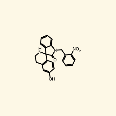 O=C1N(Cc2ccccc2[N+](=O)[O-])c2ccccc2C12NCCc1cc(O)ccc12